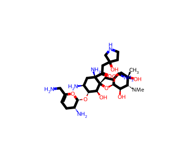 CN[C@@H]1[C@@H](O)[C@@H](O[C@]2(CCCN)[C@@H](O)[C@H](O[C@H]3OC(CN)=CC[C@H]3N)[C@@H](N)C[C@]2(N)C(=O)CC2(O)CCNC2)OC[C@]1(C)O